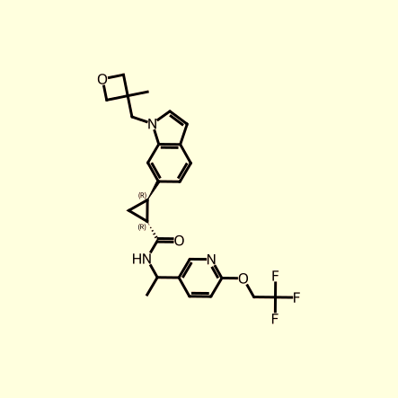 CC(NC(=O)[C@@H]1C[C@H]1c1ccc2ccn(CC3(C)COC3)c2c1)c1ccc(OCC(F)(F)F)nc1